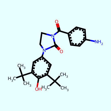 CC(C)(C)c1cc(N2CCN(C(=O)c3ccc(N)cc3)C2=O)cc(C(C)(C)C)c1O